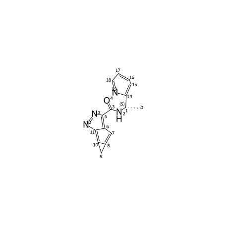 C[C@H](NC(=O)C1=C2C=C3CC3=C2N=N1)c1ccccn1